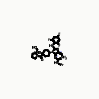 C=C(/N=C1\C(=C/N)N=C(Nc2c(F)cc(F)cc2F)N1[C@H]1CC[C@@](O)(C(=O)N2CCC[C@H]2CO)CC1)NC(C)C